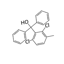 Cc1ccc(Cl)c(C(O)(c2ccccc2)c2ccccc2)c1Cl